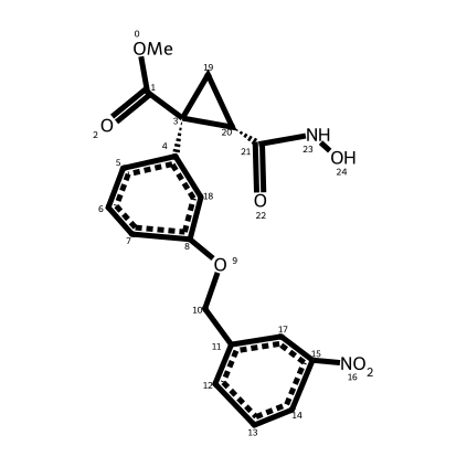 COC(=O)[C@@]1(c2cccc(OCc3cccc([N+](=O)[O-])c3)c2)C[C@@H]1C(=O)NO